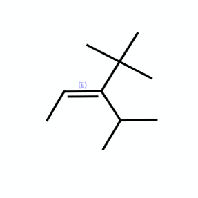 C/C=C(\C(C)C)C(C)(C)C